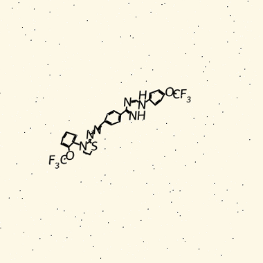 N=C(/N=C\Nc1ccc(OC(F)(F)F)cc1)c1ccc(/C=N/N=C2\SCCN2c2ccccc2OC(F)(F)F)cc1